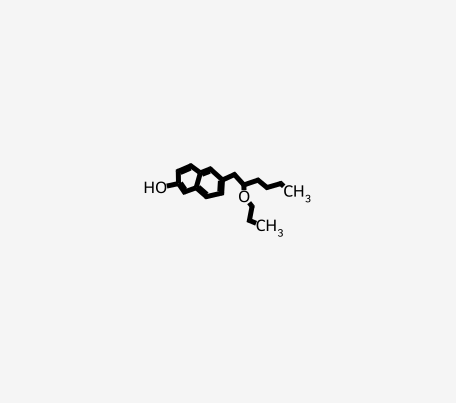 CCCCC(Cc1ccc2cc(O)ccc2c1)OCCC